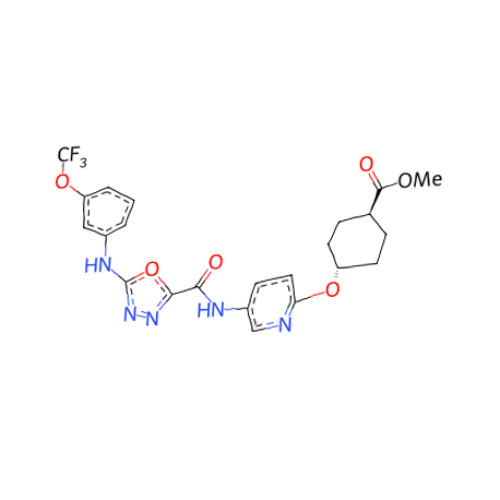 COC(=O)[C@H]1CC[C@H](Oc2ccc(NC(=O)c3nnc(Nc4cccc(OC(F)(F)F)c4)o3)cn2)CC1